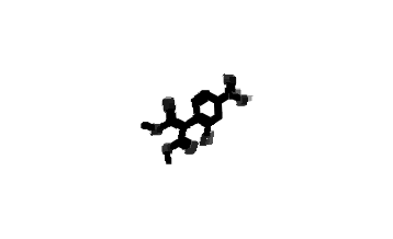 COC(=O)C(C(=O)OC)c1ccc([N+](=O)[O-])cc1Cl